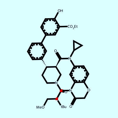 CCOC(=O)c1cc(-c2cccc([C@H]3CCN(C(=O)OC(C)(C)C)C[C@@H]3C(=O)N(c3ccc4c(c3)N(CCCOC)C(=O)CO4)C3CC3)c2)ccc1O